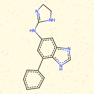 c1ccc(-c2cc(NC3=NCCN3)cc3nc[nH]c23)cc1